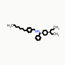 CCCCCCCc1ccc(C=NN=C(c2ccccc2)[C@H]2CC[C@H](C(CC)CCC)CC2)cc1